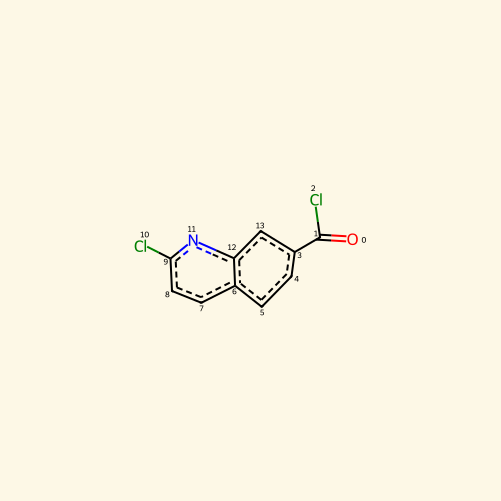 O=C(Cl)c1ccc2ccc(Cl)nc2c1